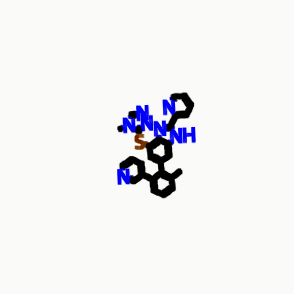 Cc1cccc(-c2cccnc2)c1-c1cc(Sc2nncn2C)c2nc(-c3ccccn3)[nH]c2c1